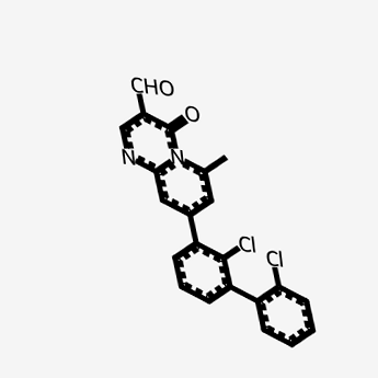 Cc1cc(-c2cccc(-c3ccccc3Cl)c2Cl)cc2ncc(C=O)c(=O)n12